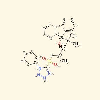 C[C@@H](CO[Si](c1ccccc1)(c1ccccc1)C(C)(C)C)CS(=O)(=O)c1nnnn1-c1ccccc1